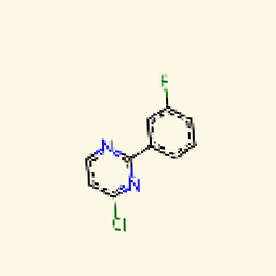 Fc1cccc(-c2nccc(Cl)n2)c1